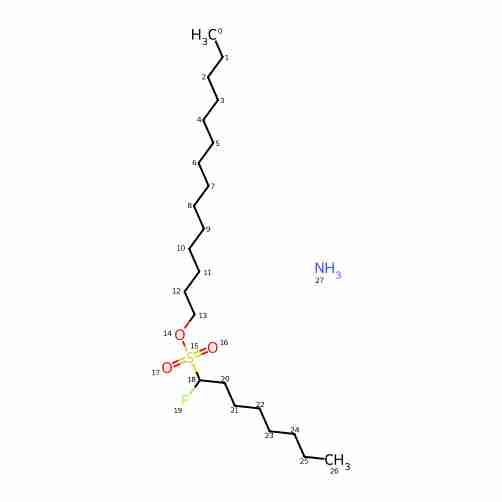 CCCCCCCCCCCCCCOS(=O)(=O)C(F)CCCCCCC.N